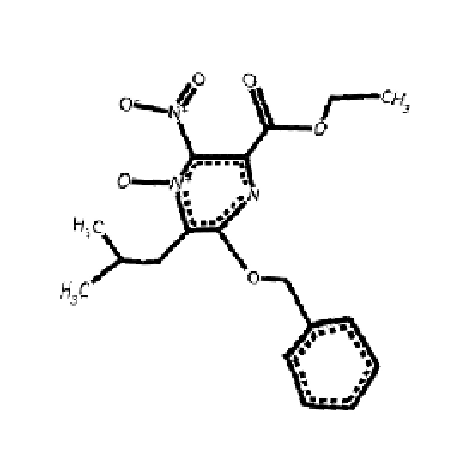 CCOC(=O)c1nc(OCc2ccccc2)c(CC(C)C)[n+]([O-])c1[N+](=O)[O-]